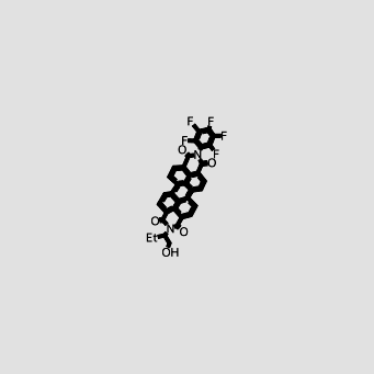 CCC(CO)N1C(=O)c2ccc3c4ccc5c6c(ccc(c7ccc(c2c37)C1=O)c64)C(=O)N(c1c(F)c(F)c(F)c(F)c1F)C5=O